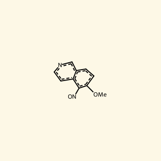 COc1ccc2cnccc2c1N=O